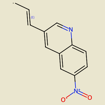 [CH2]/C=C/c1cnc2ccc([N+](=O)[O-])cc2c1